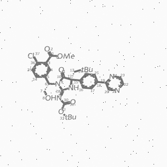 COC(=O)c1cc([C@@H](CO)N2C(=O)[C@@](CC(C)(C)C)(c3ccc(-c4cnccn4)cc3)N/C2=N\C(=O)OC(C)(C)C)ccc1Cl